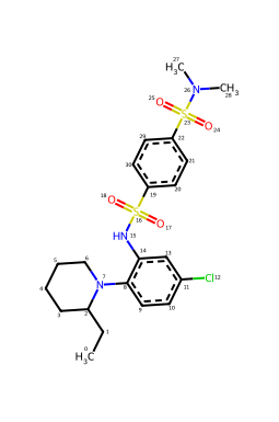 CCC1CCCCN1c1ccc(Cl)cc1NS(=O)(=O)c1ccc(S(=O)(=O)N(C)C)cc1